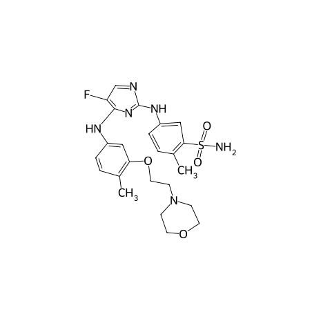 Cc1ccc(Nc2nc(Nc3ccc(C)c(S(N)(=O)=O)c3)ncc2F)cc1OCCN1CCOCC1